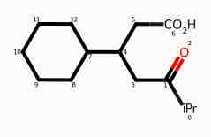 CC(C)C(=O)CC(CC(=O)O)C1CCCCC1